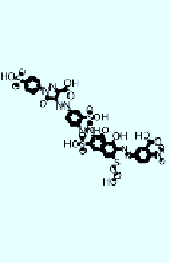 O=C(O)C1=NN(c2ccc(S(=O)(=O)O)cc2)C(=O)C1/N=N/c1ccc(/N=N/c2c(S(=O)(=O)O)cc3cc(SOOO)c(/N=N/c4ccc([N+](=O)[O-])c(C(=O)O)c4)c(O)c3c2O)c(S(=O)(=O)O)c1